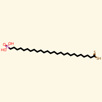 O=P(O)(O)CCCCCCCCCCCCCCCCCCCCCCCCCC(=S)S